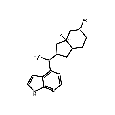 CC(=O)N1CCC2CC(N(C)c3ncnc4[nH]ccc34)C[C@H]2C1